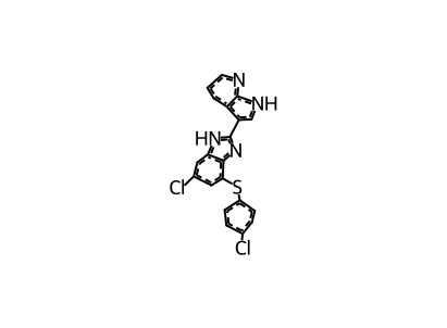 Clc1ccc(Sc2cc(Cl)cc3[nH]c(-c4c[nH]c5ncccc45)nc23)cc1